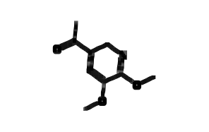 COC1=C=C(C(C)=O)CN=C1OC